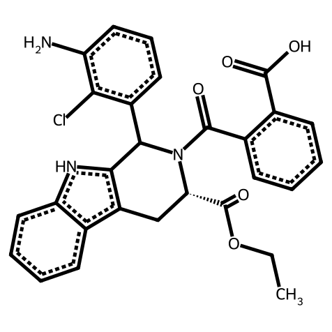 CCOC(=O)[C@@H]1Cc2c([nH]c3ccccc23)C(c2cccc(N)c2Cl)N1C(=O)c1ccccc1C(=O)O